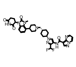 Cn1c(=O)n(C2CCC(=O)NC2=O)c2cccc(C3CCN(C[C@H]4CC[C@H](n5cc(NC(=O)c6cnn7cccnc67)c(C(F)F)n5)CC4)CC3)c21